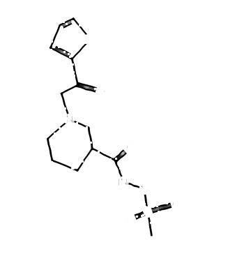 CS(=O)(=O)NNC(=O)C1CCCN(CC(=O)c2cccs2)C1